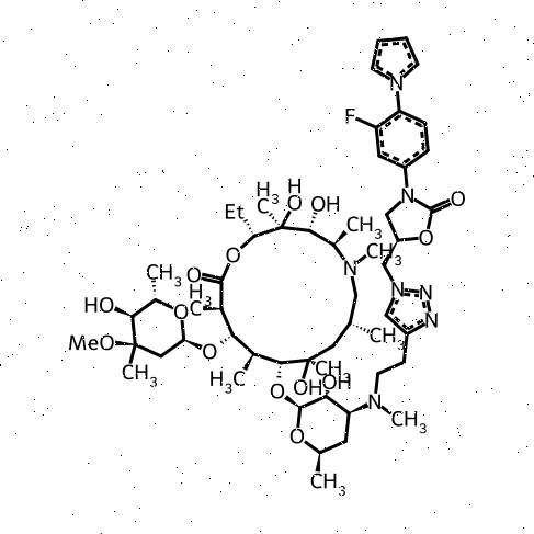 CC[C@H]1OC(=O)[C@H](C)[C@@H](O[C@H]2C[C@@](C)(OC)[C@@H](O)[C@H](C)O2)[C@H](C)[C@@H](O[C@@H]2O[C@H](C)C[C@H](N(C)CCc3cn(C[C@H]4CN(c5ccc(-n6cccc6)c(F)c5)C(=O)O4)nn3)[C@H]2O)[C@](C)(O)C[C@@H](C)CN(C)[C@H](C)[C@@H](O)[C@]1(C)O